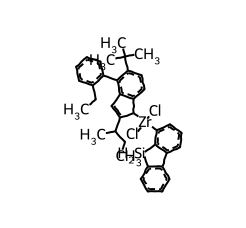 CCc1ccccc1-c1c(C(C)(C)C)ccc2c1C=C(C(C)CC)[CH]2[Zr]([Cl])([Cl])[c]1cccc2c1[SiH2]c1ccccc1-2